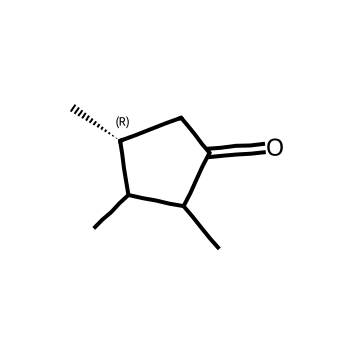 CC1C(=O)C[C@@H](C)C1C